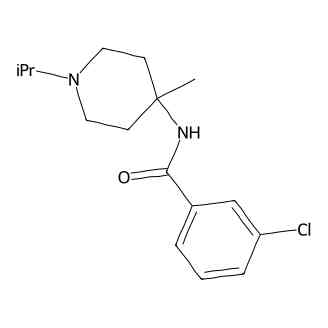 CC(C)N1CCC(C)(NC(=O)c2cccc(Cl)c2)CC1